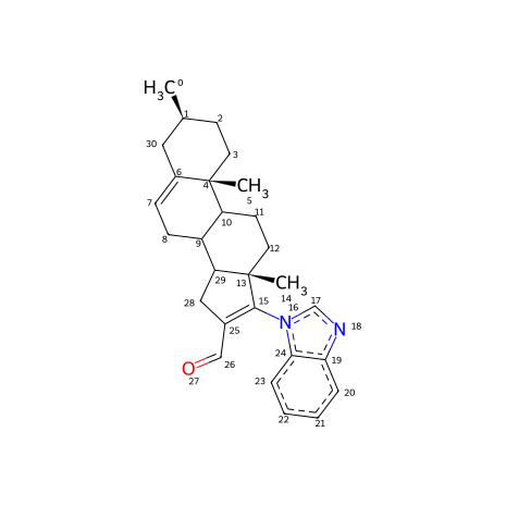 C[C@H]1CC[C@@]2(C)C(=CCC3C2CC[C@]2(C)C(n4cnc5ccccc54)=C(C=O)CC32)C1